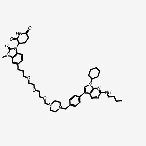 CCCCNc1ncc2c(-c3ccc(CN4CCN(COCCOCCOCCCc5ccc6c(c5)n(C)c(=O)n6C5CCC(=O)NC5=O)CC4)cc3)cn(C3CCCCC3)c2n1